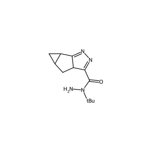 CC(C)(C)N(N)C(=O)C1=NN=C2C1CC1CC21